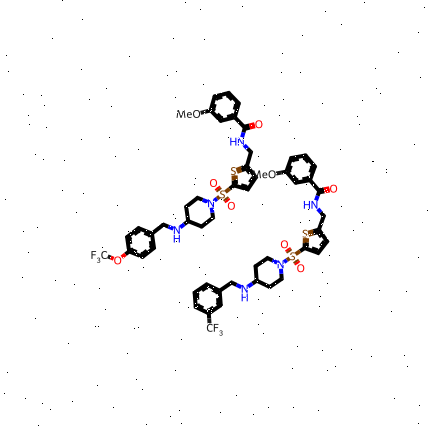 COc1cccc(C(=O)NCc2ccc(S(=O)(=O)N3CCC(NCc4ccc(OC(F)(F)F)cc4)CC3)s2)c1.COc1cccc(C(=O)NCc2ccc(S(=O)(=O)N3CCC(NCc4cccc(C(F)(F)F)c4)CC3)s2)c1